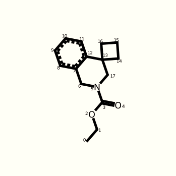 CCOC(=O)N1Cc2ccccc2C2(CCC2)C1